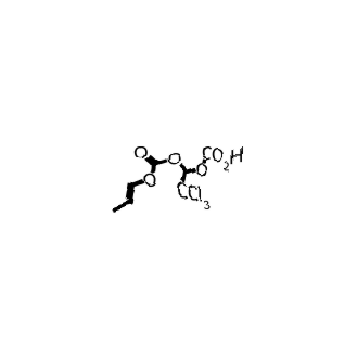 CC=COC(=O)OC(OC(=O)O)C(Cl)(Cl)Cl